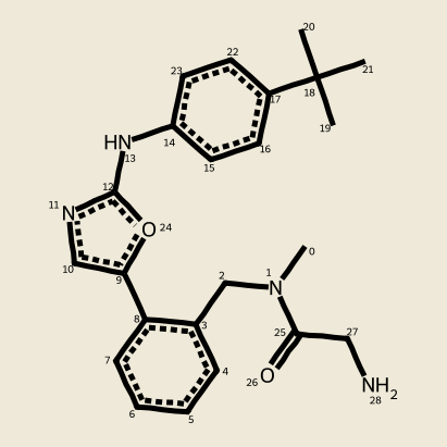 CN(Cc1ccccc1-c1cnc(Nc2ccc(C(C)(C)C)cc2)o1)C(=O)CN